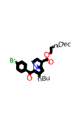 CCCCCCCCCCCCOC(=O)C1CCn2c1cc(CCCC)c2C(=O)c1ccc(Br)cc1